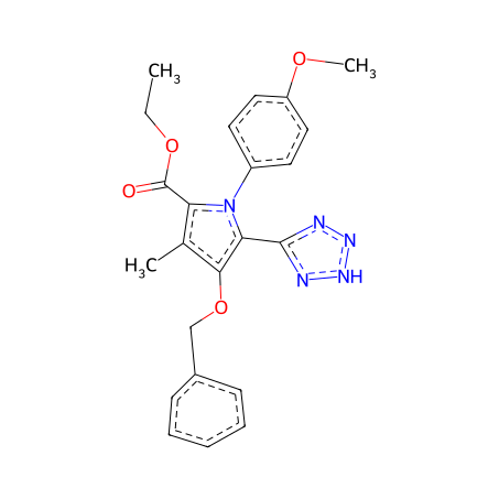 CCOC(=O)c1c(C)c(OCc2ccccc2)c(-c2nn[nH]n2)n1-c1ccc(OC)cc1